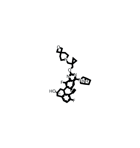 C#Cc1c(F)ccc2c1C(c1c(Cl)cc3c(N4CC5CCC(C4)N5)nc(OCC4(CN5CCC6(CC5)COC6)CC4)nc3c1F)C[C@H](O)C2